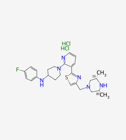 C[C@@H]1CN(Cc2csc(-c3cccnc3N3CCC(Nc4ccc(F)cc4)CC3)n2)C[C@H](C)N1.Cl.Cl